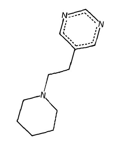 c1ncc(CCN2CCCCC2)cn1